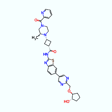 C[C@H]1CN(C(=O)c2ccccn2)CCN1[C@H]1C[C@@H](C(=O)Nc2nc3ccc(-c4cnc(CO[C@H]5CCC[C@@H]5O)nc4)cc3s2)C1